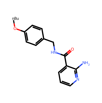 CCCCOc1ccc(CNC(=O)c2cccnc2N)cc1